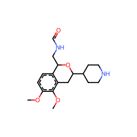 COc1ccc2c(c1OC)CC(C1CCNCC1)OC2CNC=O